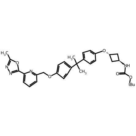 Cc1nnc(-c2cccc(COc3ccc(C(C)(C)c4ccc(O[C@H]5C[C@H](NC(=O)OC(C)(C)C)C5)cc4)cc3)n2)o1